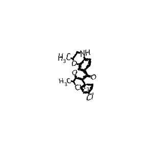 CC(C)c1oc2c3c(ccc2c(=O)c1-c1ccc(Cl)cc1)NC[C@H](C)O3